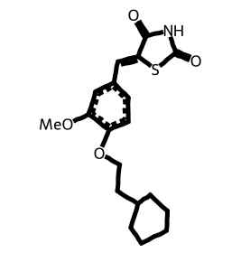 COc1cc(/C=C2\SC(=O)NC2=O)ccc1OCCC1CCCCC1